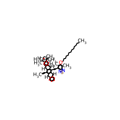 CC#Cc1c2c(c(C#Cc3c(C)c(OCCCCCCCCCCCCCC)c(C)c4nsnc34)c3c1[C@H]1c4ccccc4[C@H]3c3ccccc31)[C@H]1c3ccc(C(C)(C)C)cc3[C@H]2c2ccc(C(C)(C)C)cc21